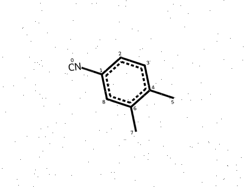 [C-]#[N+]c1ccc(C)c(C)c1